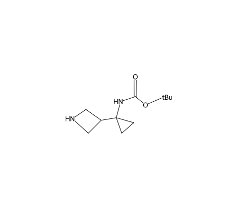 CC(C)(C)OC(=O)NC1(C2CNC2)CC1